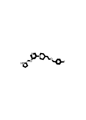 Fc1ccc(COCCC2CCN(c3cncc(OC[C@@H]4CCCN4)c3)CC2)cc1